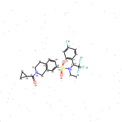 CCN([C@@H](c1ccc(F)cc1)C(F)(F)F)S(=O)(=O)c1ccc2c(c1)CN(C(=O)C1CC1)CC2